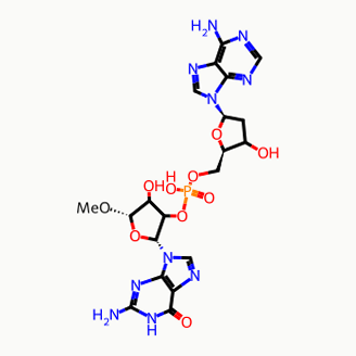 CO[C@H]1O[C@@H](n2cnc3c(=O)[nH]c(N)nc32)C(OP(=O)(O)OC[C@H]2O[C@@H](n3cnc4c(N)ncnc43)CC2O)C1O